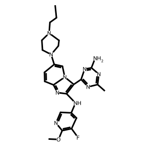 CCCN1CCN(c2ccc3nc(Nc4cnc(OC)c(F)c4)c(-c4nc(C)nc(N)n4)n3c2)CC1